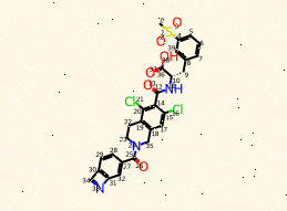 CS(=O)(=O)c1cccc(C[C@H](NC(=O)c2c(Cl)cc3c(c2Cl)CCN(C(=O)c2ccc4c(c2)N=C4)C3)C(=O)O)c1